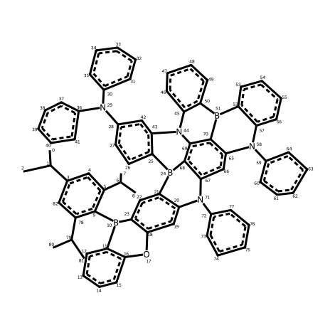 CC(C)c1cc(C(C)C)c(B2c3ccccc3Oc3cc4c(cc32)B2c3ccc(N(c5ccccc5)c5ccccc5)cc3N3c5ccccc5B5c6ccccc6N(c6ccccc6)c6cc(c2c3c65)N4c2ccccc2)c(C(C)C)c1